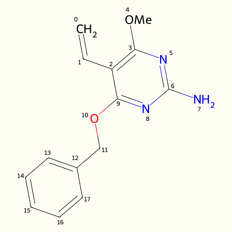 C=Cc1c(OC)nc(N)nc1OCc1ccccc1